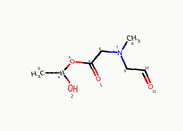 CB(O)OC(=O)CN(C)CC=O